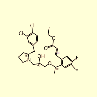 CCOC(=O)/C=C/c1cc(F)c(F)cc1[C@@H](C)OC[C@H](O)CN1CCC[C@H]1Cc1ccc(Cl)c(Cl)c1